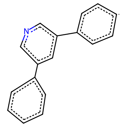 [c]1ccc(-c2cncc(-c3ccccc3)c2)cc1